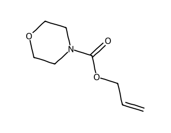 C=CCOC(=O)N1CCOCC1